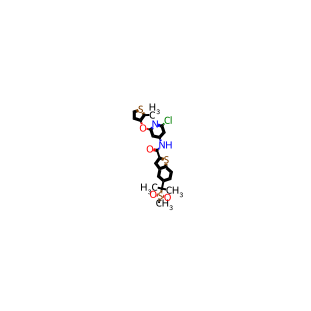 Cc1sccc1Oc1cc(NC(=O)c2cc3cc(C(C)(C)S(C)(=O)=O)ccc3s2)cc(Cl)n1